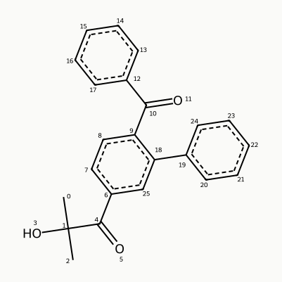 CC(C)(O)C(=O)c1ccc(C(=O)c2ccccc2)c(-c2ccccc2)c1